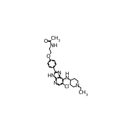 CCN1CCC(Nc2c(Cl)cnc3[nH]c(-c4ccc(OCCNC(C)=O)cc4)nc23)CC1